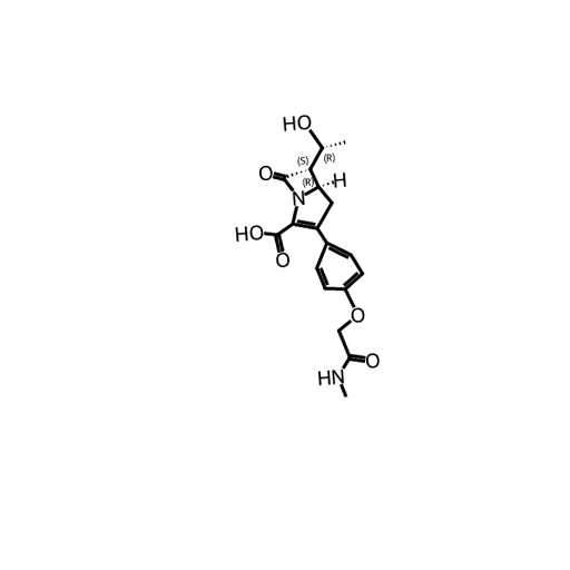 CNC(=O)COc1ccc(C2=C(C(=O)O)N3C(=O)[C@H]([C@@H](C)O)[C@H]3C2)cc1